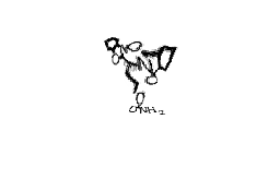 NC(=O)OCCC[C@@H](c1nc2ccccc2o1)N1C(=O)c2ccccc2C1=O